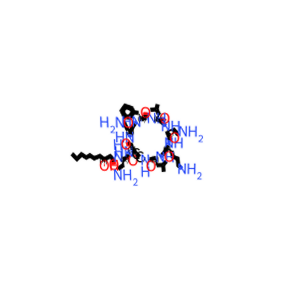 CCCCCCC[C@@H](O)CC(=O)N[C@H](CCN)C(=O)N[C@H]1CCNC(=O)[C@H](CC(C)C)NC(=O)[C@H](CCCCN)NC(=O)[C@H](CCN)NC(=O)[C@H](CC(C)C)NC(=O)[C@@H](Cc2ccccc2)NC(=O)[C@H](CCN)NC1=O